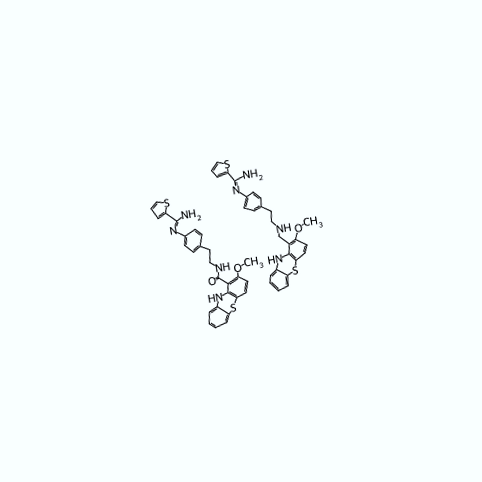 COc1ccc2c(c1C(=O)NCCc1ccc(N=C(N)c3cccs3)cc1)Nc1ccccc1S2.COc1ccc2c(c1CNCCc1ccc(N=C(N)c3cccs3)cc1)Nc1ccccc1S2